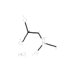 C[NH+]([O-])CC(Cl)Cl.Cl